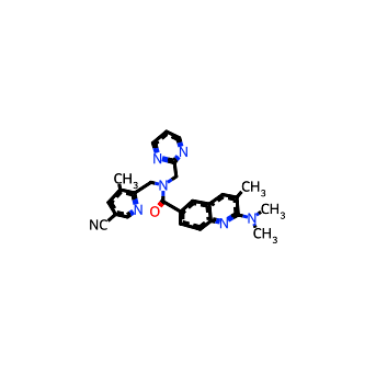 Cc1cc(C#N)cnc1CN(Cc1ncccn1)C(=O)c1ccc2nc(N(C)C)c(C)cc2c1